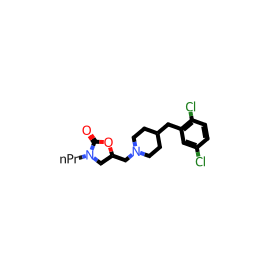 CCCN1CC(CN2CCC(Cc3cc(Cl)ccc3Cl)CC2)OC1=O